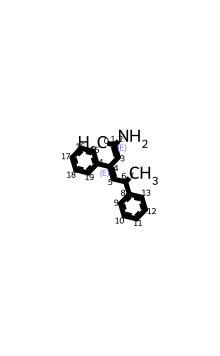 C/C(N)=C\C(=C/C(C)c1ccccc1)c1ccccc1